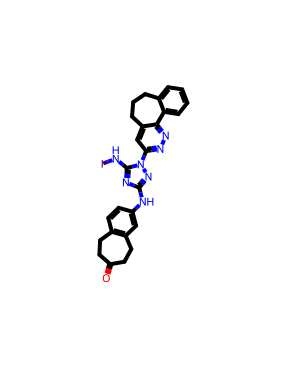 O=C1CCc2ccc(Nc3nc(NI)n(-c4cc5c(nn4)-c4ccccc4CCC5)n3)cc2CC1